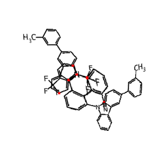 Cc1cccc(-c2ccc3c(c2)c2ccccc2n3-c2cccc(C#N)c2-c2c(-c3c(C(F)(F)F)cccc3C(F)(F)F)cccc2-n2c3ccccc3c3cc(-c4cccc(C)c4)ccc32)c1